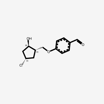 O=Cc1ccc(OC[C@@H]2C[C@H](Cl)C[C@H]2O)cc1